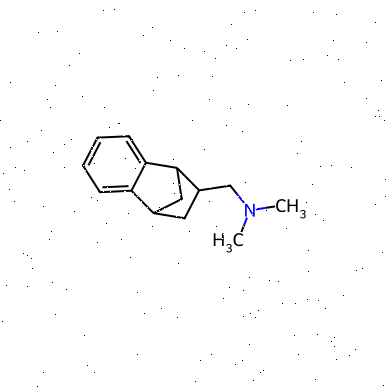 CN(C)CC1CC2CC1c1ccccc12